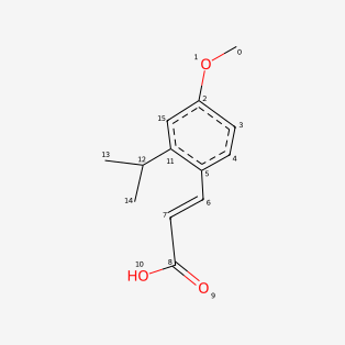 COc1ccc(C=CC(=O)O)c(C(C)C)c1